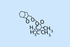 C[C@H](C(=O)OCOCC1CC2CCCC(C2)C1=O)C(C)(C)C